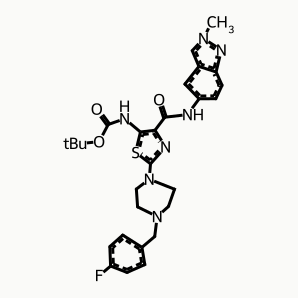 Cn1cc2cc(NC(=O)c3nc(N4CCN(Cc5ccc(F)cc5)CC4)sc3NC(=O)OC(C)(C)C)ccc2n1